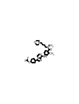 Cc1cc(Nc2nccn3c(C4=CCC(OC(F)F)C=C4)cnc23)ccc1C(=O)N(C)CCCCN1CCOCC1